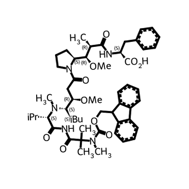 CC[C@H](C)[C@@H]([C@@H](CC(=O)N1CCC[C@H]1[C@H](OC)[C@@H](C)C(=O)N[C@@H](Cc1ccccc1)C(=O)O)OC)N(C)[C@H](C(=O)NC(=O)C(C)(C)N(C)C(=O)OCC1c2ccccc2-c2ccccc21)C(C)C